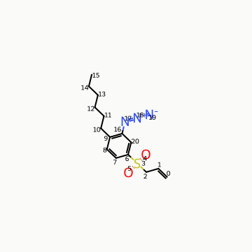 C=CCS(=O)(=O)c1ccc(CCCCCC)c(N=[N+]=[N-])c1